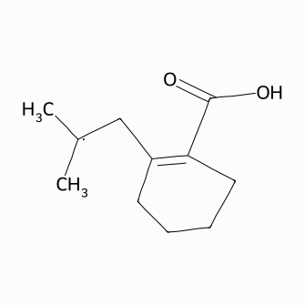 C[C](C)CC1=C(C(=O)O)CCCC1